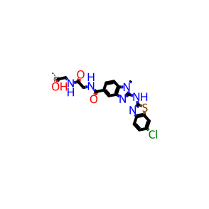 C[C@@H](O)CNC(=O)CNC(=O)c1ccc2c(c1)nc(Nc1nc3ccc(Cl)cc3s1)n2C